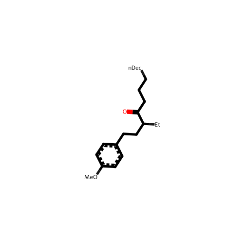 CCCCCCCCCCCCCC(=O)C(CC)CCc1ccc(OC)cc1